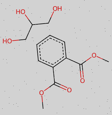 COC(=O)c1ccccc1C(=O)OC.OCC(O)CO